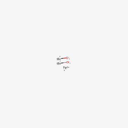 CC(C)(C)[O-].CC(C)(C)[O-].[Fe+2]